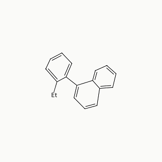 CCc1ccccc1-c1cccc2ccccc12